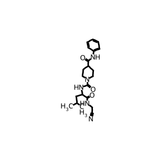 CC(C)CC(NC(=O)N1CCC(C(=O)Nc2ccccc2)CC1)C(=O)NCC#N